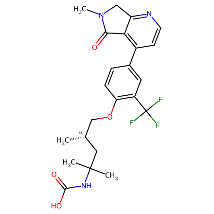 C[C@H](COc1ccc(-c2ccnc3c2C(=O)N(C)C3)cc1C(F)(F)F)CC(C)(C)NC(=O)O